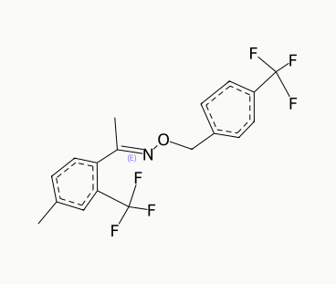 C/C(=N\OCc1ccc(C(F)(F)F)cc1)c1ccc(C)cc1C(F)(F)F